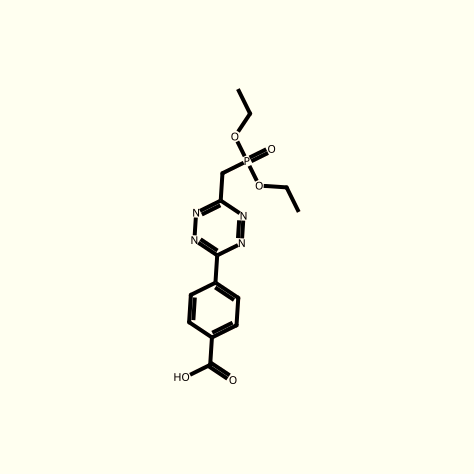 CCOP(=O)(Cc1nnc(-c2ccc(C(=O)O)cc2)nn1)OCC